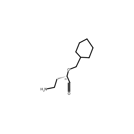 NCC[C@@H]([C]=O)OCC1CCCCC1